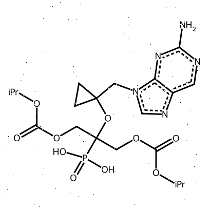 CC(C)OC(=O)OCC(COC(=O)OC(C)C)(OC1(Cn2cnc3cnc(N)nc32)CC1)P(=O)(O)O